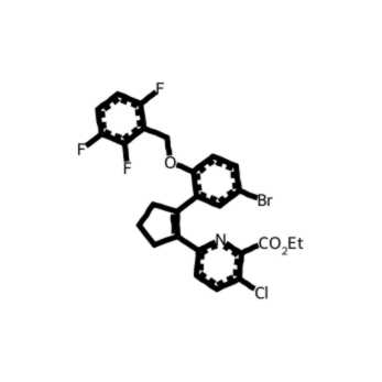 CCOC(=O)c1nc(C2=C(c3cc(Br)ccc3OCc3c(F)ccc(F)c3F)CCC2)ccc1Cl